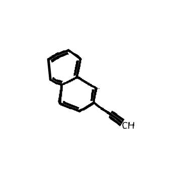 C#Cc1[c]c2ccccc2cc1